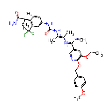 C=N/C(=N\C(C)=C(/C)NC(=O)Nc1ccc(C(C)(C)C(N)=O)c(C(F)(F)F)c1)c1cnc(OCc2ccc(OC)cc2)c(OCC)c1